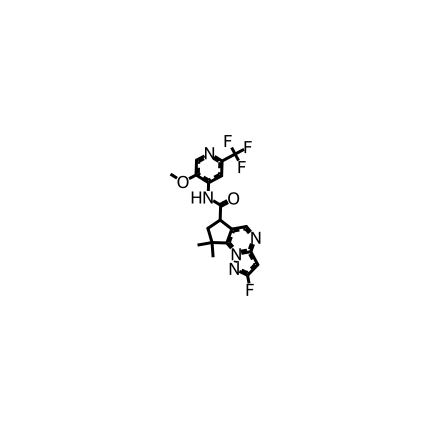 COc1cnc(C(F)(F)F)cc1NC(=O)C1CC(C)(C)c2c1cnc1cc(F)nn21